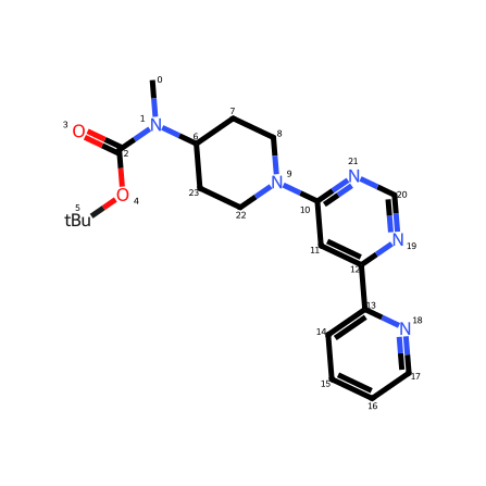 CN(C(=O)OC(C)(C)C)C1CCN(c2cc(-c3ccccn3)ncn2)CC1